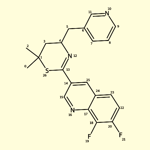 CC1(C)CC(Cc2cccnc2)N=C(c2cnc3c(F)c(F)ccc3c2)S1